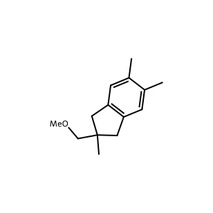 COCC1(C)Cc2cc(C)c(C)cc2C1